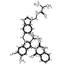 Cc1cc2c(-n3c(=O)[nH]c4ccccc4c3=O)c(C(=O)O)n(Cc3cc4ncn(COC(=O)C(C)C)c4cc3Cl)c2cc1F